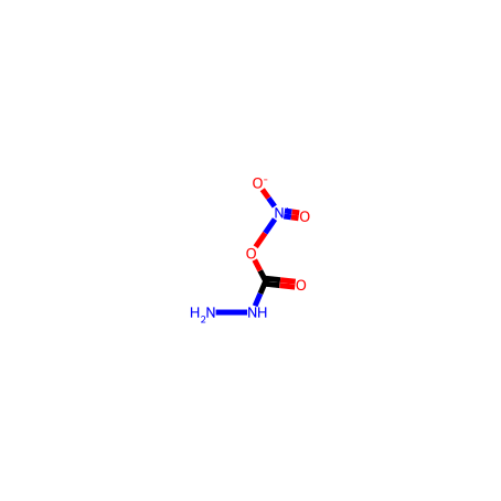 NNC(=O)O[N+](=O)[O-]